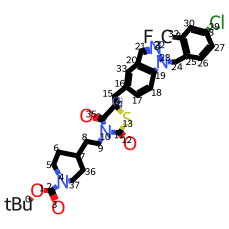 CC(C)(C)OC(=O)N1CCC(CCN2C(=O)S/C(=C\c3ccc4c(cnn4Cc4ccc(Cl)cc4C(F)(F)F)c3)C2=O)CC1